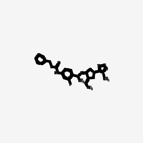 CC=C1CN(c2nnnn2C)C/C1=N/N(C)c1ccc(NC(=O)OCc2ccccc2)cc1F